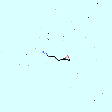 NCCCC1=CO1